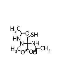 CC(=O)NN(C)[C@](CS)(NC(C)=O)C(=O)O